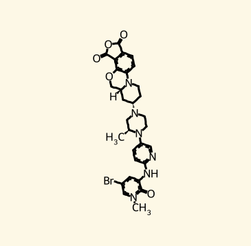 C[C@H]1CN([C@H]2CCN3c4ccc5c(c4OC[C@H]3C2)C(=O)OC5=O)CCN1c1ccc(Nc2cc(Br)cn(C)c2=O)nc1